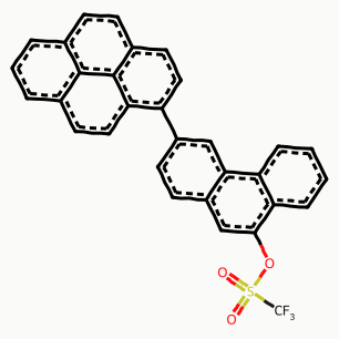 O=S(=O)(Oc1cc2ccc(-c3ccc4ccc5cccc6ccc3c4c56)cc2c2ccccc12)C(F)(F)F